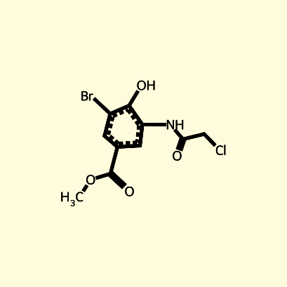 COC(=O)c1cc(Br)c(O)c(NC(=O)CCl)c1